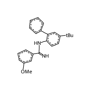 COc1cccc(C(=N)Nc2ccc(C(C)(C)C)cc2-c2ccccc2)c1